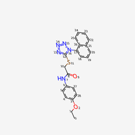 CCOc1ccc(NC(=O)CSc2nnnn2-c2cccc3ccccc23)cc1